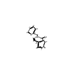 Cc1ccc2ccn(Cc3ccccc3)c(=O)c2c1